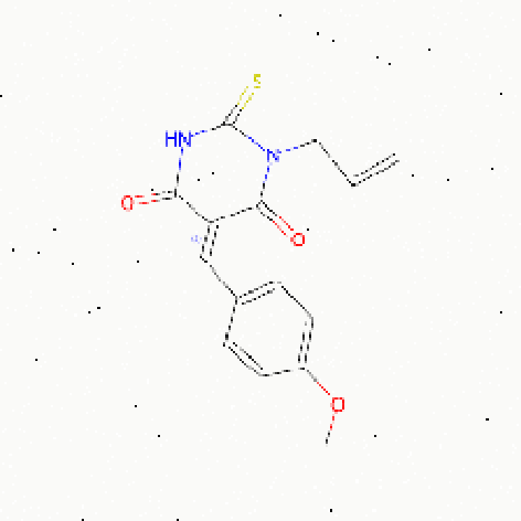 C=CCN1C(=O)/C(=C\c2ccc(OC)cc2)C(=O)NC1=S